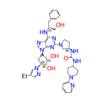 CCc1cnn([C@H]2C[C@@H](n3cnc4c(N[C@H](CO)Cc5ccccc5)nc(N5CC[C@@H](NC(=O)NC6CCN(c7ccccn7)CC6)C5)nc43)[C@H](O)[C@@H]2O)c1